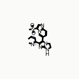 C/C=C\C(=N/C)c1nc2n(c1-c1ccc3ncc(S(C)(=O)=O)n3c1)CCN2